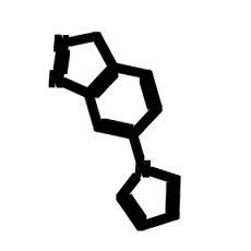 c1ccn(-c2ccc3c(c2)N=NC3)c1